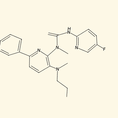 C=C(Nc1ccc(F)cn1)N(C)c1nc(-c2ccccc2)ccc1N(C)CCC